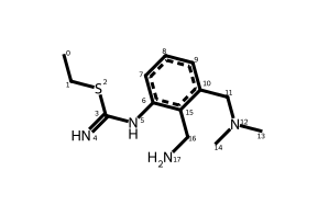 CCSC(=N)Nc1cccc(CN(C)C)c1CN